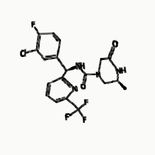 C[C@H]1CN(C(=O)N[C@H](c2ccc(F)c(Cl)c2)c2cccc(C(F)(F)F)n2)CC(=O)N1